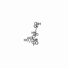 O=C(NC(C(=O)O)C1(O)CCN(C(=O)NCCCc2ccc3c(n2)NCCC3)CC1)c1c(F)cccc1F